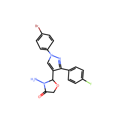 NN1C(=O)COC1c1cn(-c2ccc(Br)cc2)nc1-c1ccc(F)cc1